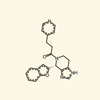 O=C(CCc1ccncc1)N1CCc2[nH]cnc2[C@@H]1c1cc2ccccc2o1